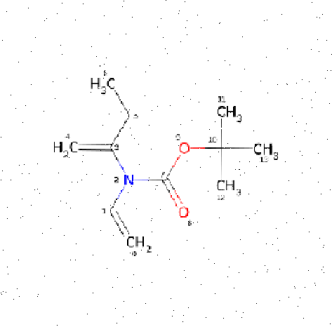 C=CN(C(=C)CC)C(=O)OC(C)(C)C